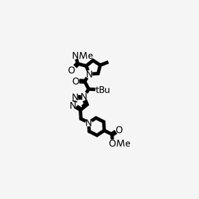 CNC(=O)C1CC(C)CN1C(=O)C(n1cc(CN2CCC(C(=O)OC)CC2)nn1)C(C)(C)C